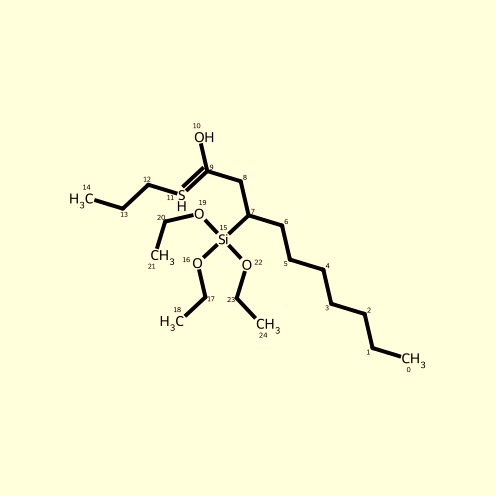 CCCCCCCC(CC(O)=[SH]CCC)[Si](OCC)(OCC)OCC